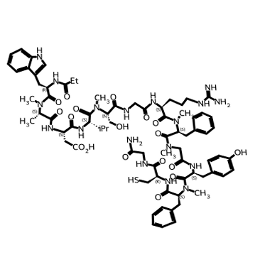 CCC(=O)N[C@H](Cc1c[nH]c2ccccc12)C(=O)N(C)[C@@H](C)C(=O)N[C@@H](CC(=O)O)C(=O)N[C@H](C(=O)N(C)[C@@H](CO)C(=O)NCC(=O)N[C@@H](CCCNC(=N)N)C(=O)N(C)[C@@H](Cc1ccccc1)C(=O)N(C)CC(=O)N[C@@H](Cc1ccc(O)cc1)C(=O)N(C)[C@@H](Cc1ccccc1)C(=O)N[C@@H](CS)C(=O)NCC(N)=O)C(C)C